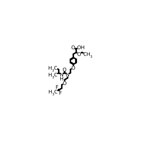 CCOC(Cc1ccc(OCCN(CCOCCC(C)(F)F)C(=O)NC(C)CC)cc1)C(=O)O